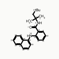 CC(C)(C)CC(C)(C)NC(=O)c1ccccc1Nc1cccc2ccccc12